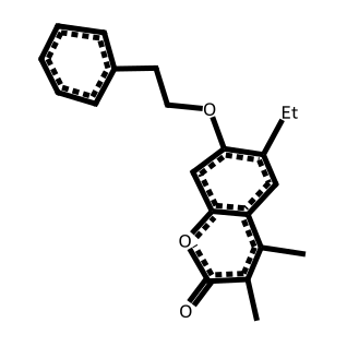 CCc1cc2c(C)c(C)c(=O)oc2cc1OCCc1ccccc1